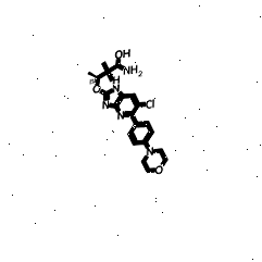 C[C@H](Oc1nc2nc(-c3ccc(N4CCOCC4)cc3)c(Cl)cc2[nH]1)C(C)(C)C(N)O